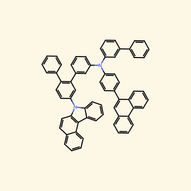 c1ccc(-c2cccc(N(c3ccc(-c4cc5ccccc5c5ccccc45)cc3)c3cccc(-c4cc(-n5c6ccccc6c6c7ccccc7ccc65)ccc4-c4ccccc4)c3)c2)cc1